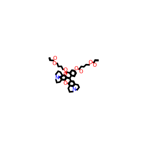 C=CC(=O)OCCCCOC(=O)c1cc(OC(=O)CCCCOC(=O)C=C)ccc1C1=c2cc3c4c(c2Oc2c1cc1c5c2CCCN5CCC1)CCC[N+]=4CCC3